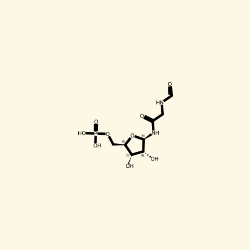 O=CNCC(=O)N[C@@H]1O[C@H](COP(=O)(O)O)[C@@H](O)[C@H]1O